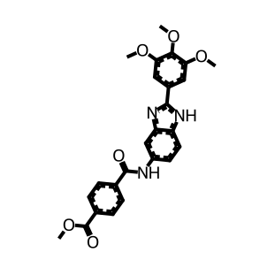 COC(=O)c1ccc(C(=O)Nc2ccc3[nH]c(-c4cc(OC)c(OC)c(OC)c4)nc3c2)cc1